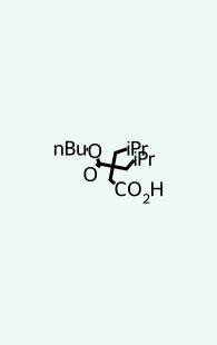 CCCCOC(=O)C(CC(=O)O)(CC(C)C)CC(C)C